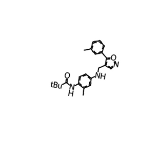 Cc1cccc(-c2oncc2CNc2ccc(NC(=O)C(C)(C)C)c(C)c2)c1